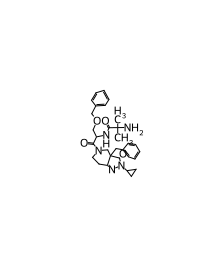 CC(C)(N)C(=O)NC(COCc1ccccc1)C(=O)N1CCC2=NN(C3CC3)C(=O)C2(Cc2ccccc2)C1